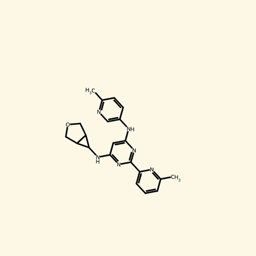 Cc1ccc(Nc2cc(NC3C4COCC43)nc(-c3cccc(C)n3)n2)cn1